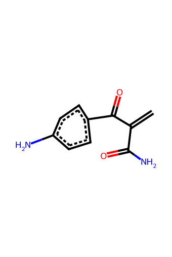 C=C(C(N)=O)C(=O)c1ccc(N)cc1